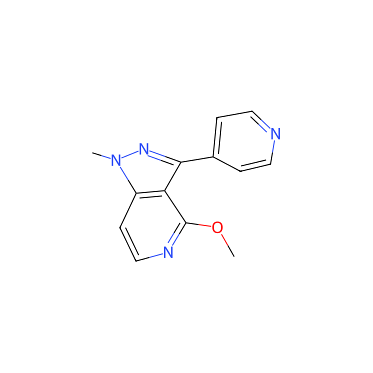 COc1nccc2c1c(-c1ccncc1)nn2C